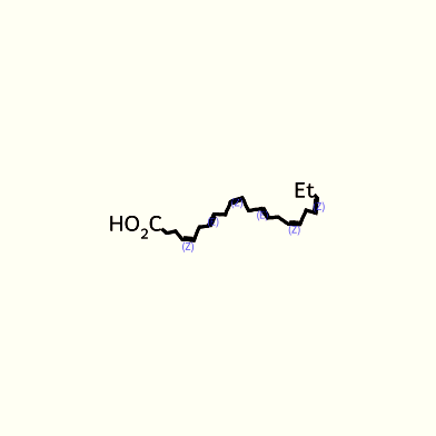 CC/C=C\C/C=C\C/C=C/C/C=C\C/C=C/C/C=C\CCC(=O)O